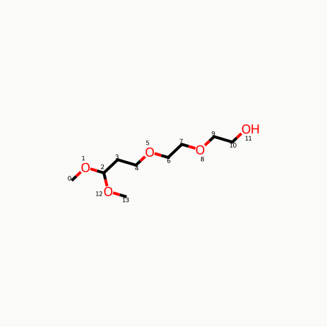 COC(CCOCCOCCO)OC